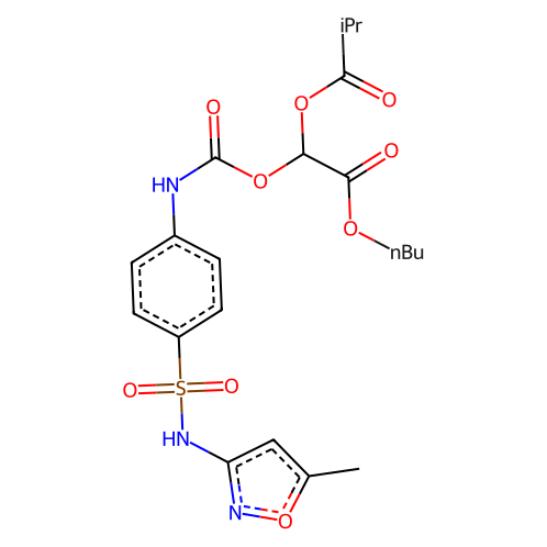 CCCCOC(=O)C(OC(=O)Nc1ccc(S(=O)(=O)Nc2cc(C)on2)cc1)OC(=O)C(C)C